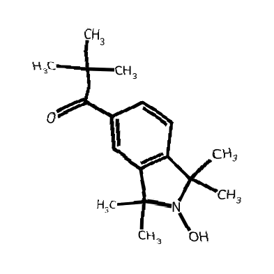 CC(C)(C)C(=O)c1ccc2c(c1)C(C)(C)N(O)C2(C)C